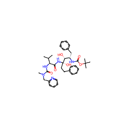 CC(C)[C@H](NC(=O)N(C)Cc1ccccn1)C(=O)N[C@](O)(CCc1ccccc1)[C@H](O)[C@H](Cc1ccccc1)NC(=O)OC(C)(C)C